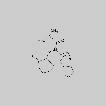 CN(C)C(=O)N(SC1CCCCC1Cl)C1CC2=C3CCCC3C1C2